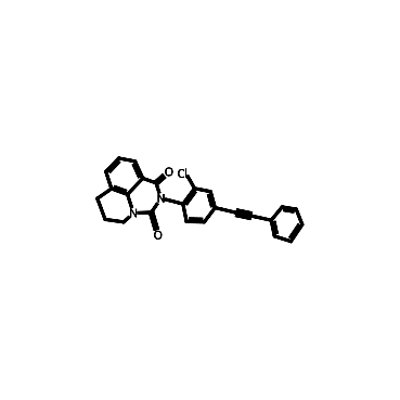 O=c1c2cccc3c2n(c(=O)n1-c1ccc(C#Cc2ccccc2)cc1Cl)CCC3